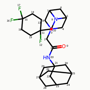 O=C(CN1CC2CC(C1)N2CC1(F)CCC(F)(F)CC1)NC12CC3CC(CC(C3)C1)C2